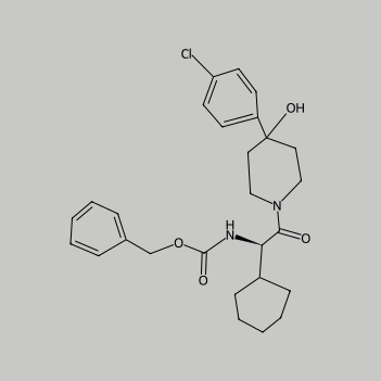 O=C(N[C@@H](C(=O)N1CCC(O)(c2ccc(Cl)cc2)CC1)C1CCCCC1)OCc1ccccc1